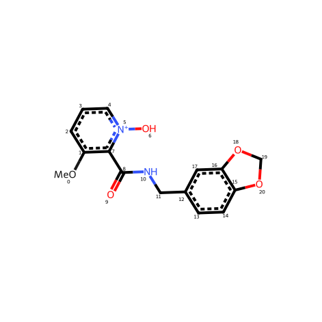 COc1ccc[n+](O)c1C(=O)NCc1ccc2c(c1)OCO2